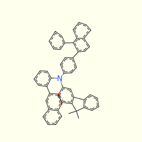 CC1(C)c2ccccc2-c2cc(N(c3ccc(-c4ccc5ccccc5c4-c4ccccc4)cc3)c3ccccc3-c3ccc4ccccc4c3)ccc21